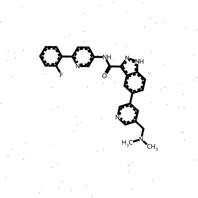 CN(C)Cc1cncc(-c2ccc3[nH]nc(C(=O)Nc4ccc(-c5ccccc5F)nc4)c3c2)c1